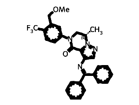 COCc1cc(N2C[C@H](C)n3ncc(N=C(c4ccccc4)c4ccccc4)c3C2=O)ccc1C(F)(F)F